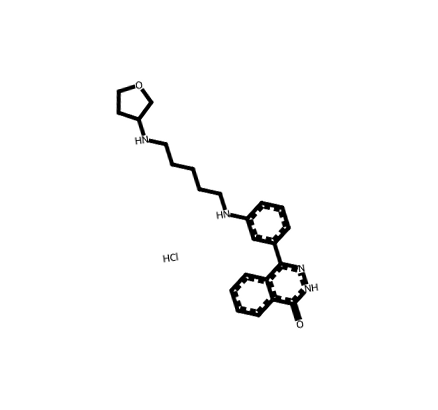 Cl.O=c1[nH]nc(-c2cccc(NCCCCCNC3CCOC3)c2)c2ccccc12